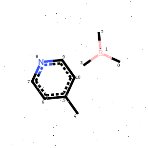 CB(C)C.Cc1ccncc1